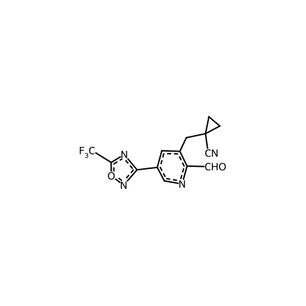 N#CC1(Cc2cc(-c3noc(C(F)(F)F)n3)cnc2C=O)CC1